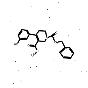 COC(=O)C1=C(c2cccc(O)c2)CCN(C(=O)OCc2ccccc2)C1